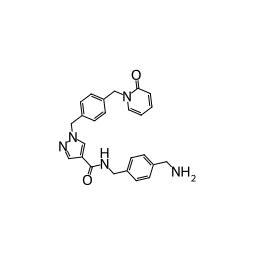 NCc1ccc(CNC(=O)c2cnn(Cc3ccc(Cn4ccccc4=O)cc3)c2)cc1